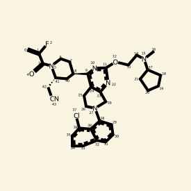 C=C(F)C(=O)N1CC[C@@H](c2nc(OCCN(C)C3CCCC3)nc3c2CCN(c2cccc4cccc(Cl)c24)C3)C[C@@H]1CC#N